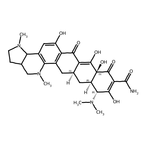 CN1CC2CCN(C)C2c2cc(O)c3c(c21)C[C@@H]1C[C@@H]2[C@@H](N(C)C)C(O)=C(C(N)=O)C(=O)[C@@]2(O)C(O)=C1C3=O